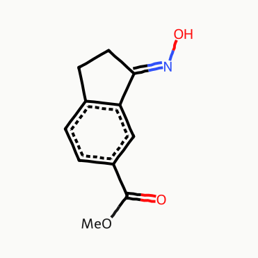 COC(=O)c1ccc2c(c1)/C(=N/O)CC2